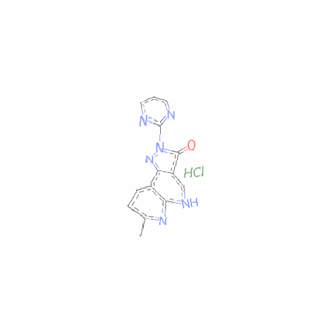 Cc1ccc2c3nn(-c4ncccn4)c(=O)c-3c[nH]c2n1.Cl